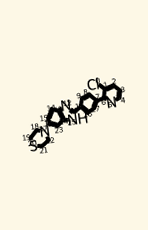 Clc1cccnc1-c1ccc(-c2nc3ccc(N4CCSCC4)cc3[nH]2)cc1